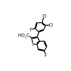 O=C(O)c1sc2cc(F)ccc2c1-c1cc(Cl)c(Cl)cc1F